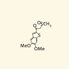 COc1cc2cc(C(=O)C[S+](C)[O-])sc2cc1OC